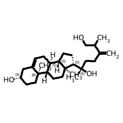 C=C(CC[C@](C)(O)[C@H]1CC[C@H]2[C@@H]3CC=C4C[C@@H](O)CC[C@]4(C)[C@H]3CC[C@@]21C)C(C)CO